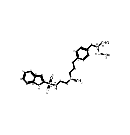 CN(CCCc1ccc(CN(C=O)OC(C)(C)C)cc1)CCNS(=O)(=O)c1cc2ccccc2s1